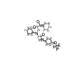 O=C(CN1CC(C(=O)N2CCCCC2)Oc2ccccc21)Nc1ccc(OC(F)(F)F)cc1